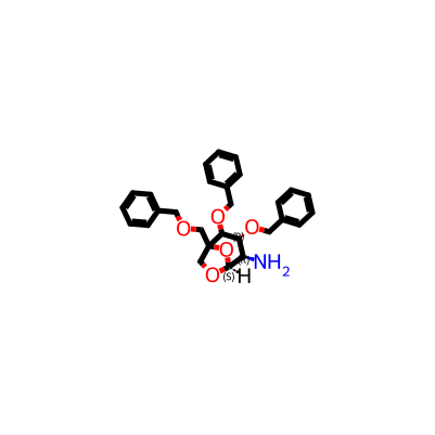 N[C@H]1[C@H]2OCC(COCc3ccccc3)(O2)C(OCc2ccccc2)[C@@H]1OCc1ccccc1